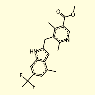 COC(=O)c1cnc(C)c(Cc2cc3c(C)cc(C(C)(F)F)cc3[nH]2)c1C